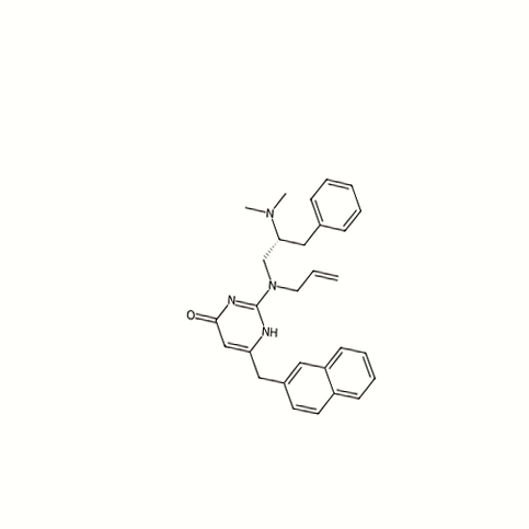 C=CCN(C[C@@H](Cc1ccccc1)N(C)C)c1nc(=O)cc(Cc2ccc3ccccc3c2)[nH]1